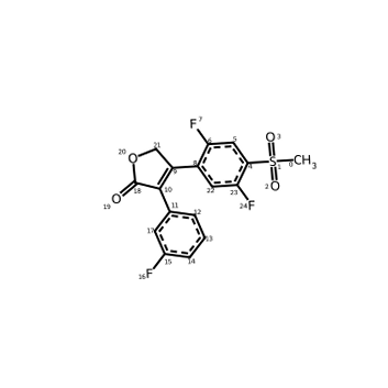 CS(=O)(=O)c1cc(F)c(C2=C(c3cccc(F)c3)C(=O)OC2)cc1F